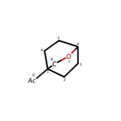 CC(=O)C12CCC(CC1)OC2